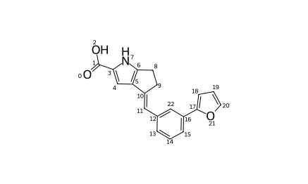 O=C(O)c1cc2c([nH]1)CC/C2=C\c1cccc(-c2ccco2)c1